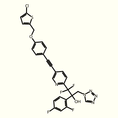 OC(Cn1cnnn1)(c1ccc(F)cc1F)C(F)(F)c1ccc(C#Cc2ccc(OCc3ccc(Cl)s3)cc2)cn1